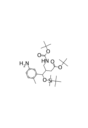 Cc1ccc(N)cc1C(O[Si](C)(C)C(C)(C)C)C(CNC(=O)OC(C)(C)C)CC(=O)OC(C)(C)C